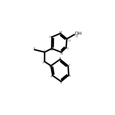 CC(Cc1cc[c]cc1)c1ccc(O)cc1